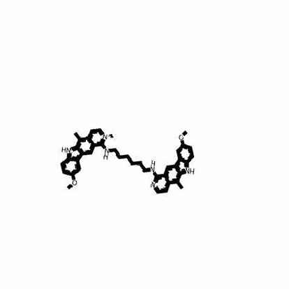 COc1ccc2[nH]c3c(C)c4ccnc(NCCCCCCNc5c6cc7c([nH]c8ccc(OC)cc87)c(C)c6cc[n+]5C)c4cc3c2c1